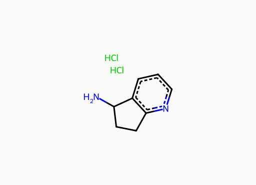 Cl.Cl.NC1CCc2ncccc21